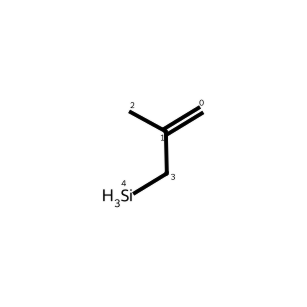 C=C(C)C[SiH3]